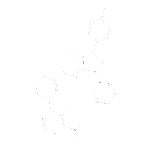 Cc1ccc(N2N=C(c3ccccc3)C(=NNc3cccc(-c4cccc(C(=O)O)c4O)c3)C2=O)cc1C